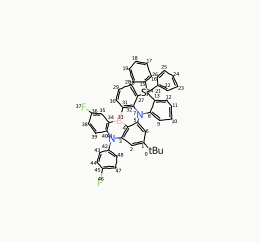 CC(C)(C)c1cc2c3c(c1)N1c4ccccc4[Si](c4ccccc4)(c4ccccc4)c4cccc(c41)B3c1cc(F)ccc1N2c1ccc(F)cc1